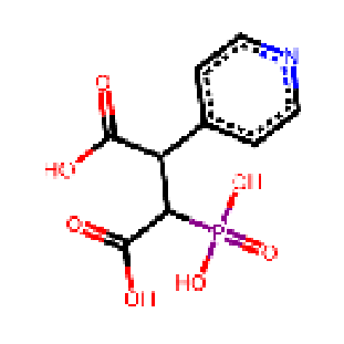 O=C(O)C(c1ccncc1)C(C(=O)O)P(=O)(O)O